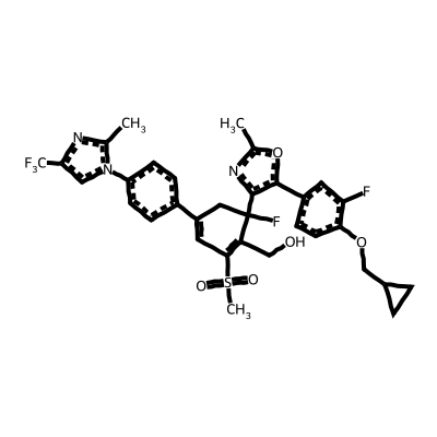 Cc1nc(C2(F)CC(c3ccc(-n4cc(C(F)(F)F)nc4C)cc3)=CC(S(C)(=O)=O)=C2CO)c(-c2ccc(OCC3CC3)c(F)c2)o1